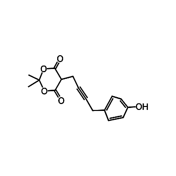 CC1(C)OC(=O)C(CC#CCc2ccc(O)cc2)C(=O)O1